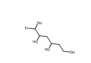 CCC(O)C(O)CC(O)[CH]CO